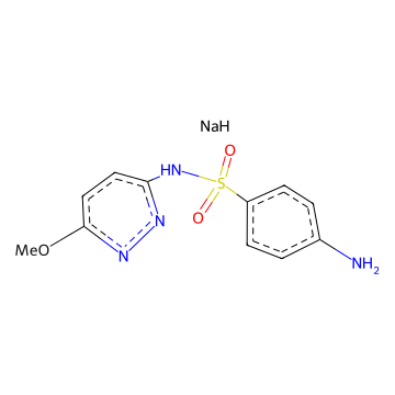 COc1ccc(NS(=O)(=O)c2ccc(N)cc2)nn1.[NaH]